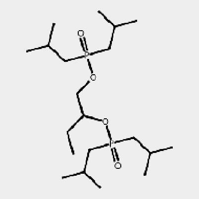 CCC(COP(=O)(CC(C)C)CC(C)C)OP(=O)(CC(C)C)CC(C)C